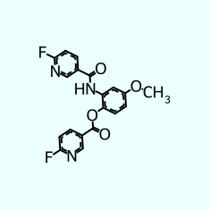 COc1ccc(OC(=O)c2ccc(F)nc2)c(NC(=O)c2ccc(F)nc2)c1